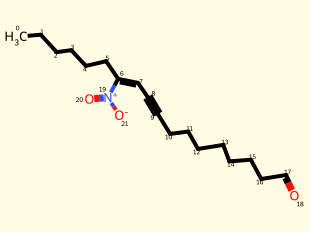 CCCCCCC(=CC#CCCCCCCCC=O)[N+](=O)[O-]